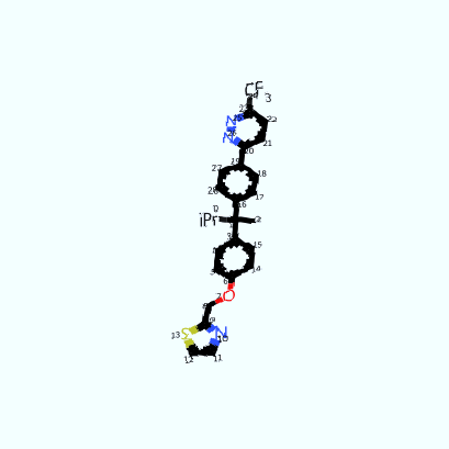 CC(C)C(C)(c1ccc(OCc2nccs2)cc1)c1ccc(-c2ccc(C(F)(F)F)nn2)cc1